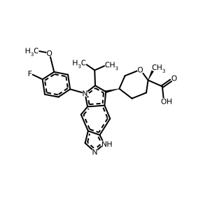 COc1cc(-n2c(C(C)C)c([C@@H]3CC[C@@](C)(C(=O)O)OC3)c3cc4[nH]ncc4cc32)ccc1F